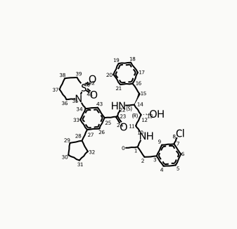 CC(Cc1cccc(Cl)c1)NC[C@@H](O)[C@H](Cc1ccccc1)NC(=O)c1cc(C2CCCC2)cc(N2CCCCS2(=O)=O)c1